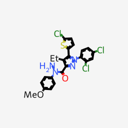 CCc1c(C(=O)N(N)c2ccc(OC)cc2)nn(-c2ccc(Cl)cc2Cl)c1-c1ccc(Cl)s1